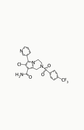 NC(=O)c1c(Cl)c(-c2cccnc2)n2c1CN(S(=O)(=O)c1ccc(C(F)(F)F)cc1)CC2